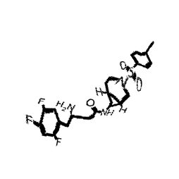 Cc1ccc(S(=O)(=O)N2C[C@@H]3C(NC(=O)C[C@H](N)Cc4cc(F)c(F)cc4F)[C@@H]3C2)cc1